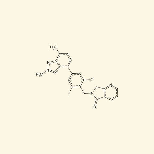 Cc1ccc(-c2cc(F)c(CN3Cc4ncccc4C3=O)c(Cl)c2)c2cn(C)nc12